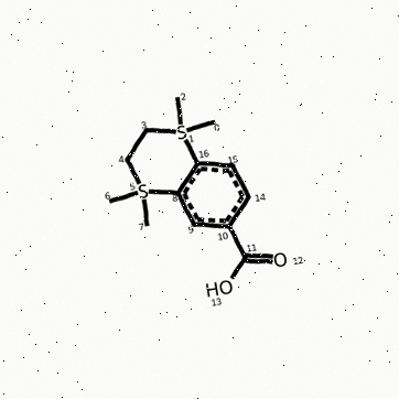 CS1(C)CCS(C)(C)c2cc(C(=O)O)ccc21